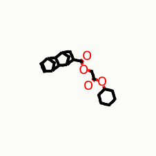 O=C(COC(=O)C1CC2CC1C1C3C=CC(C3)C21)OC1CCCCC1